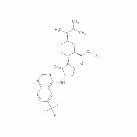 COC(=O)[C@@H]1C[C@H](N(C)C(C)C)CC[C@@H]1N1CC[C@H](Nc2ncnc3ccc(C(F)(F)F)cc23)C1=O